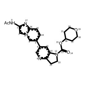 CC(=O)Nc1cn2cc(-c3cnc4c(c3)N(C(=O)OC3CCOCC3)CC4)ccc2n1